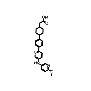 COc1ccc(Nc2ccc(-c3ccc(C4CCC(CC(=O)O)CC4)cc3)nc2)cn1